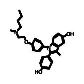 CCCCN(C)CCOc1ccc(-n2c(-c3ccc(O)cc3)c(C)c3cc(O)ccc32)cc1